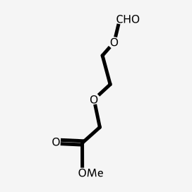 COC(=O)COCCOC=O